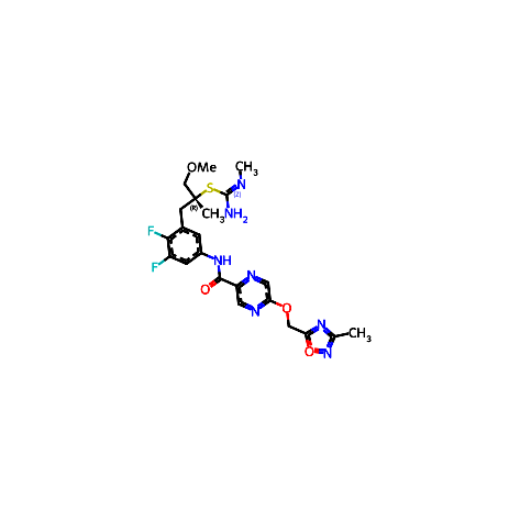 C/N=C(/N)S[C@@](C)(COC)Cc1cc(NC(=O)c2cnc(OCc3nc(C)no3)cn2)cc(F)c1F